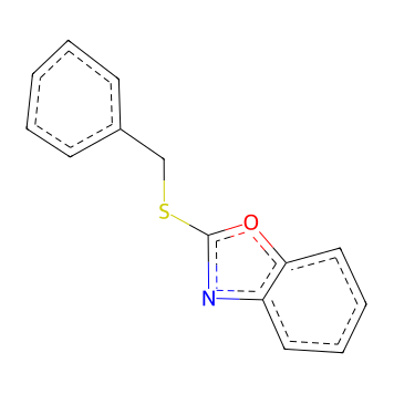 c1ccc(CSc2nc3ccccc3o2)cc1